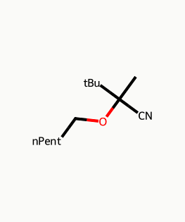 CCCCCCOC(C)(C#N)C(C)(C)C